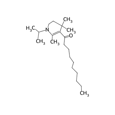 CCCCCCCCCC(=O)C1=C(C)N(C(C)C)CCC1(C)C